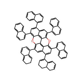 C1=CCC2CCC=C(c3cc(-c4cccc5ccccc45)c4oc5c(-c6cccc7ccccc67)cc6c(-c7cccc8ccccc78)cc(-c7cccc8ccccc78)c7oc8c(-c9cccc%10c9=CCCC=%10)cc3c4c8-c5c67)C2=C1